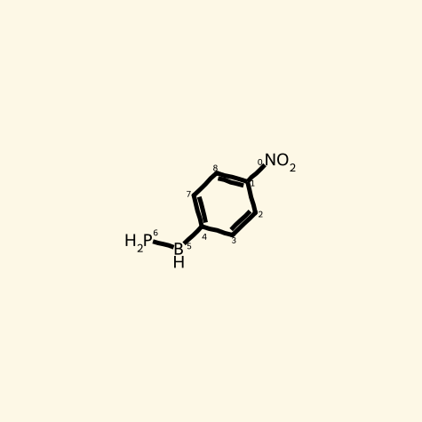 O=[N+]([O-])c1ccc(BP)cc1